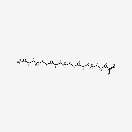 [CH2]COCCOCCOCCOCCOCCOCCOC(=C)C